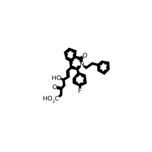 O=C(O)CC(=O)CC(O)/C=C/c1c(-c2ccc(F)cc2)n(CCc2ccccc2)c(=O)c2ccccc12